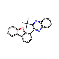 CC(C)(C)c1nc2ccccc2nc1-c1cccc2c1oc1ccccc12